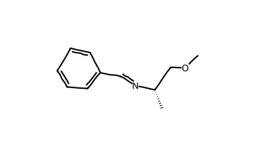 COC[C@H](C)/N=C/c1ccccc1